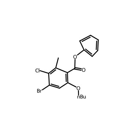 CCCCOc1cc(Br)c(Cl)c(C)c1C(=O)Oc1ccccc1